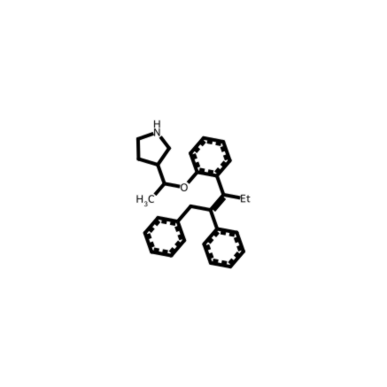 CCC(=C(Cc1ccccc1)c1ccccc1)c1ccccc1OC(C)C1CCNC1